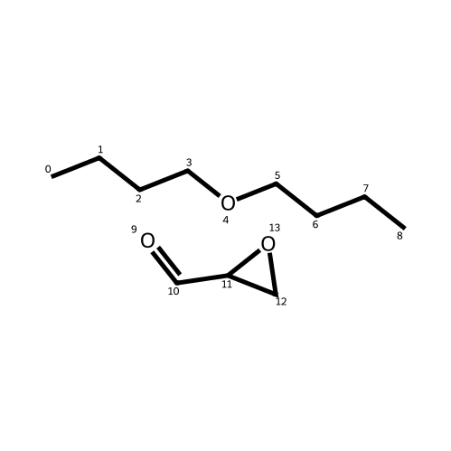 CCCCOCCCC.O=CC1CO1